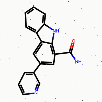 NC(=O)c1cc(-c2cccnc2)cc2c1[nH]c1ccccc12